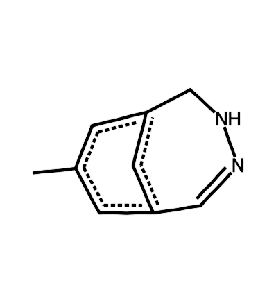 Cc1cc2cc(c1)CNN=C2